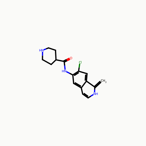 C=C1NC=Cc2cc(NC(=O)C3CCNCC3)c(Cl)cc21